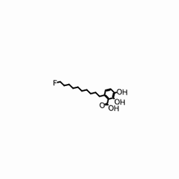 O=C(O)c1c(CCCCCCCCCCF)ccc(O)c1O